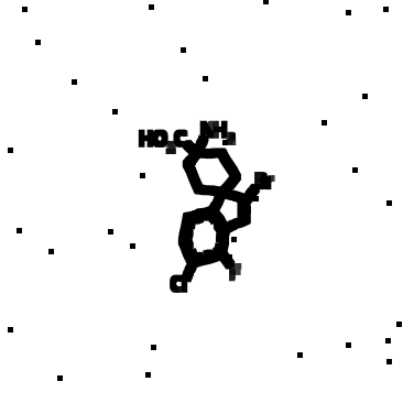 NC1(C(=O)O)CCC2(CC1)C(Br)=Cc1c2ccc(Cl)c1F